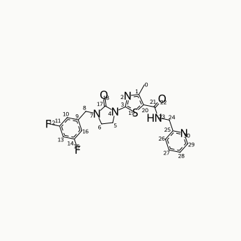 Cc1nc(N2CCN(Cc3cc(F)cc(F)c3)C2=O)sc1C(=O)NCc1ccccn1